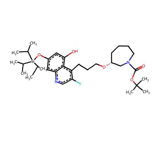 CC(C)[Si](Oc1cc(O)c2c(CCCO[C@@H]3CCCCN(C(=O)OC(C)(C)C)C3)c(F)cnc2c1)(C(C)C)C(C)C